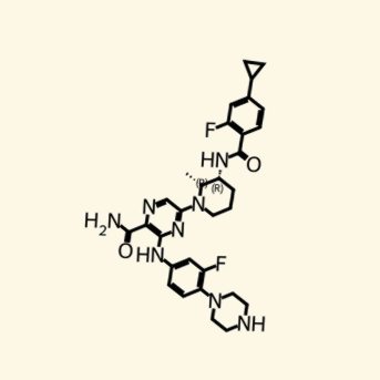 C[C@@H]1[C@H](NC(=O)c2ccc(C3CC3)cc2F)CCCN1c1cnc(C(N)=O)c(Nc2ccc(N3CCNCC3)c(F)c2)n1